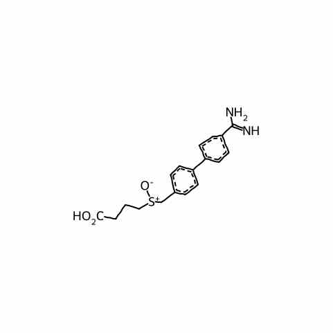 N=C(N)c1ccc(-c2ccc(C[S+]([O-])CCCC(=O)O)cc2)cc1